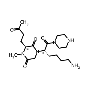 CC(=O)CC[C@H]1C(=O)N([C@@H](CCCCN)C(=O)N2CCNCC2)CC(=O)N1C